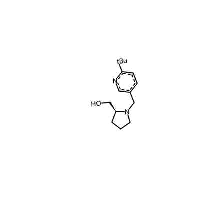 CC(C)(C)c1ccc(CN2CCC[C@H]2CO)cn1